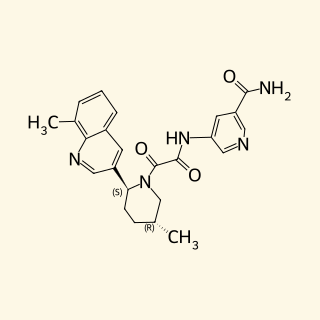 Cc1cccc2cc([C@@H]3CC[C@@H](C)CN3C(=O)C(=O)Nc3cncc(C(N)=O)c3)cnc12